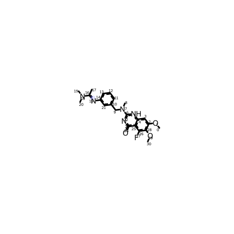 COc1cc2[nH]c(N(C)Cc3cccc(/N=C(\C)N(C)C)c3)nc(=O)c2c(F)c1OC